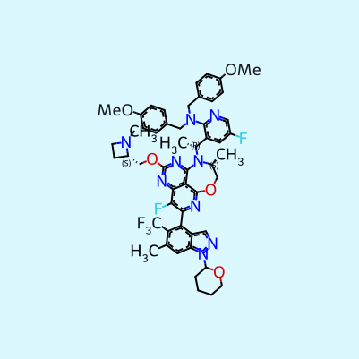 COc1ccc(CN(Cc2ccc(OC)cc2)c2ncc(F)cc2[C@@H](C)N2c3nc(OC[C@@H]4CCN4C)nc4c(F)c(-c5c(C(F)(F)F)c(C)cc6c5cnn6C5CCCCO5)nc(c34)OC[C@@H]2C)cc1